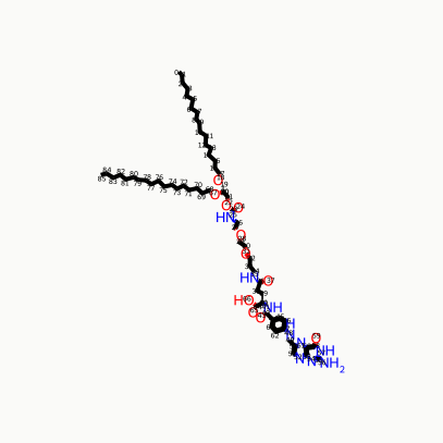 CCCCCCCCCCCCCCCCCCOC[C@H](COC(=O)NCCOCCOCCCNC(=O)CC[C@@H](NC(=O)c1ccc(NCc2cnc3nc(N)[nH]c(=O)c3n2)cc1)C(=O)O)OCCCCCCCCCCCCCCCCCC